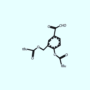 CC(C)(C)C(=O)OCc1cc(C(=O)C=O)ccc1OC(=O)C(C)(C)C